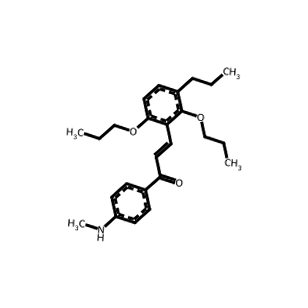 CCCOc1ccc(CCC)c(OCCC)c1C=CC(=O)c1ccc(NC)cc1